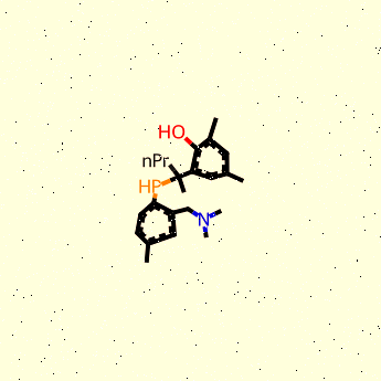 CCCC(C)(Pc1ccc(C)cc1CN(C)C)c1cc(C)cc(C)c1O